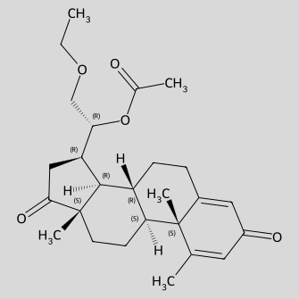 CCOC[C@H](OC(C)=O)[C@@H]1CC(=O)[C@@]2(C)CC[C@H]3[C@@H](CCC4=CC(=O)C=C(C)[C@@]43C)[C@H]12